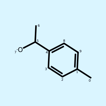 Cc1ccc(C(C)[O])cc1